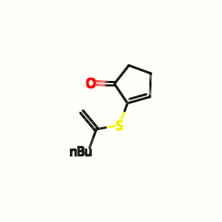 C=C(CCCC)SC1=CCCC1=O